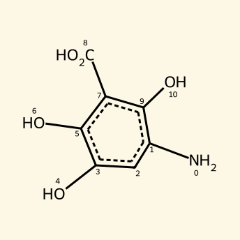 Nc1cc(O)c(O)c(C(=O)O)c1O